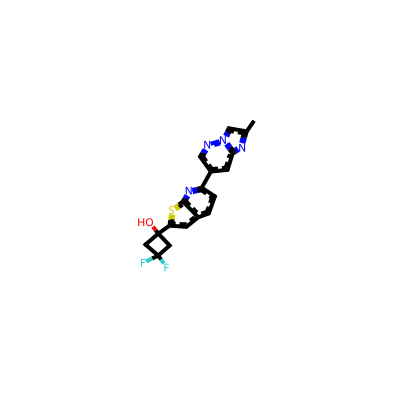 Cc1cn2ncc(-c3ccc4cc(C5(O)CC(F)(F)C5)sc4n3)cc2n1